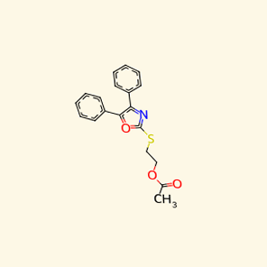 CC(=O)OCCSc1nc(-c2ccccc2)c(-c2ccccc2)o1